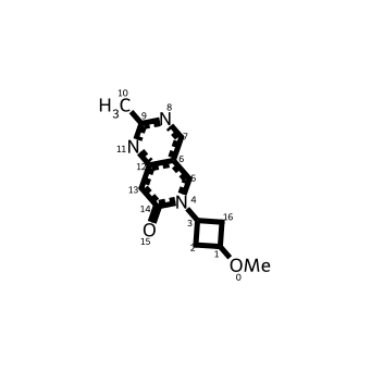 COC1CC(n2cc3cnc(C)nc3cc2=O)C1